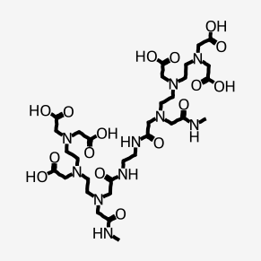 CNC(=O)CN(CCN(CCN(CC(=O)O)CC(=O)O)CC(=O)O)CC(=O)NCCNC(=O)CN(CCN(CCN(CC(=O)O)CC(=O)O)CC(=O)O)CC(=O)NC